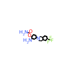 NC(=O)Oc1ccc(N2CCc3cc(C(F)(F)F)ccc3C2)cc1N